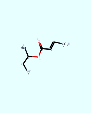 CC(C)CC(OC(=O)C=CC(=O)O)C(C)(C)C